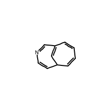 C1=CC2=CC(C=C1)C=CN=C2